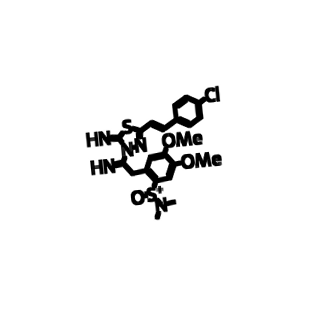 COc1cc(CC(=N)n2nc(/C=C/c3ccc(Cl)cc3)sc2=N)c([S+]([O-])N(C)C)cc1OC